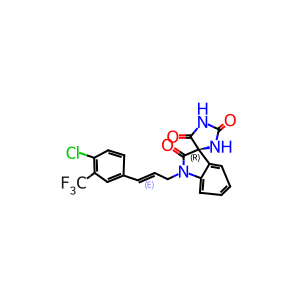 O=C1NC(=O)[C@@]2(N1)C(=O)N(C/C=C/c1ccc(Cl)c(C(F)(F)F)c1)c1ccccc12